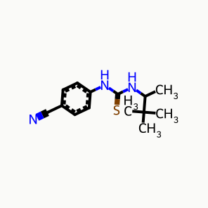 CC(NC(=S)Nc1ccc(C#N)cc1)C(C)(C)C